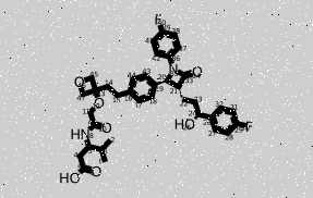 CC(C)C(CC(=O)O)NC(=O)COC1(CCc2ccc([C@@H]3[C@@H](CC[C@H](O)c4ccc(F)cc4)C(=O)N3c3ccc(F)cc3)cc2)COC1